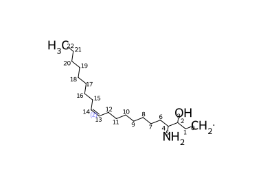 [CH2]CC(O)C(N)CCCCCCC/C=C\CCCCCCCC